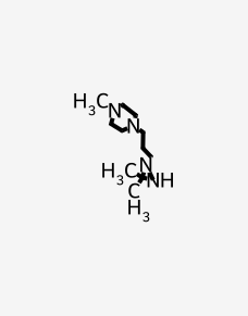 CN1CCN(CCCN2NC2(C)C)CC1